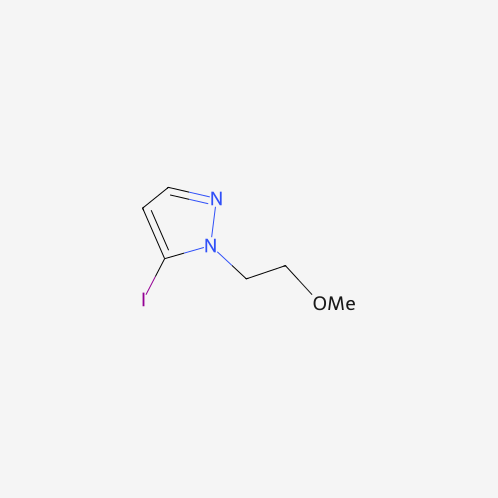 COCCn1nccc1I